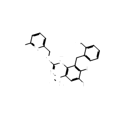 O=S1(=O)N=C(NCc2cccc(F)n2)Nc2c1cc(F)c(F)c2Cc1ccccc1Cl